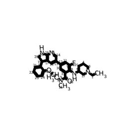 CCN1CCCC(Nc2c(F)cc(-c3cnc4c(c3)C(c3ccccc3OC)CN4)cc2C(=O)N(C)C)C1